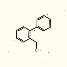 BrCc1ccc[c]c1-c1ccccc1